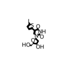 O=c1[nH]c(=O)n([C@H]2C[C@H](O)[C@@H](CO)O2)cc1-c1ccc(I)s1